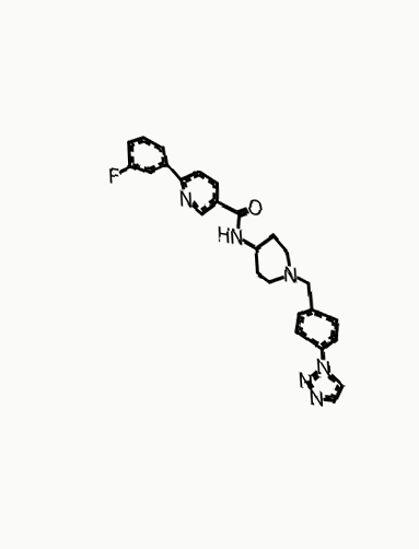 O=C(NC1CCN(Cc2ccc(-n3ccnn3)cc2)CC1)c1ccc(-c2cccc(F)c2)nc1